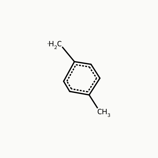 [CH2]c1ccc(C)cc1